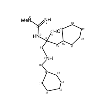 CNC(=N)NC(C=O)(CNCC1CCCCC1)CC1CCCCC1